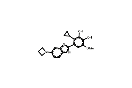 COc1cc(-c2nc3cc(N4CCC4)ccc3[nH]2)c(C2CC2)c(O)c1O